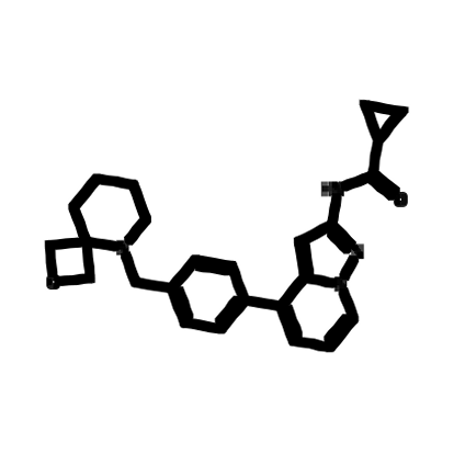 O=C(Nc1cc2c(-c3ccc(CN4CCCCC45COC5)cc3)cccn2n1)C1CC1